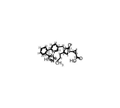 CCCCc1cn(C2CC2C(=O)O)c(=O)n1Cc1ccc(-c2ccccc2-c2nnn[nH]2)nc1